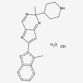 Cc1c(C2=CC3=NC(C)(C4CCNCC4)N=CC3=N2)sc2ccccc12.Cl.O